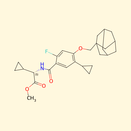 COC(=O)[C@@H](NC(=O)c1cc(C2CC2)c(OCC23CC4CC(CC(C4)C2)C3)cc1F)C1CC1